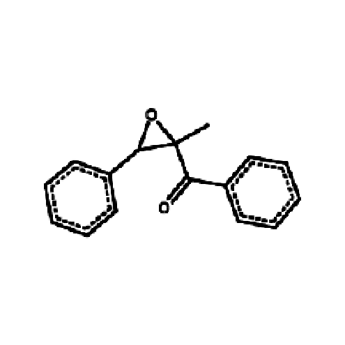 CC1(C(=O)c2ccccc2)OC1c1ccccc1